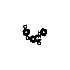 O=[S+]c1ccc(Oc2ccc(Cl)cc2)cc1CNc1ccccc1